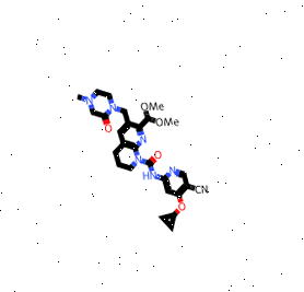 COC(OC)c1nc2c(cc1CN1CCN(C)CC1=O)CCCN2C(=O)Nc1cc(OC2CC2)c(C#N)cn1